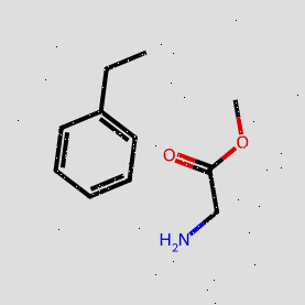 CCc1ccccc1.COC(=O)CN